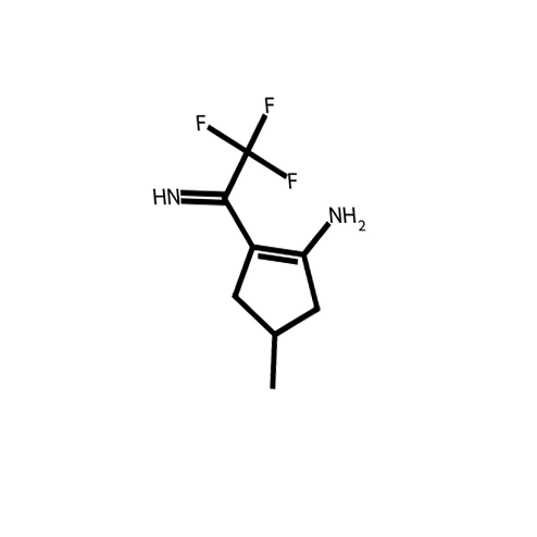 CC1CC(N)=C(C(=N)C(F)(F)F)C1